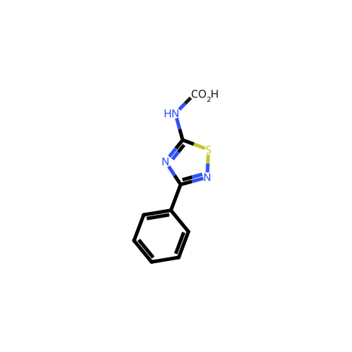 O=C(O)Nc1nc(-c2ccccc2)ns1